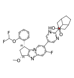 CO[C@@H]1C[C@H](c2ccccc2OC(F)F)c2c1nc1cc(F)c(-c3cnc(N4CC5CCC(C4)C5C(=O)O)nc3)cn21